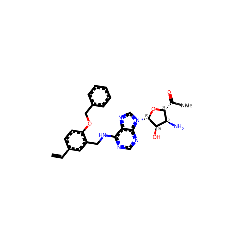 C=Cc1ccc(OCc2ccccc2)c(CNc2ncnc3c2ncn3[C@@H]2O[C@H](C(=O)NC)[C@@H](N)[C@H]2O)c1